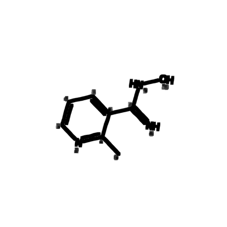 Cc1ncccc1C(=N)NO